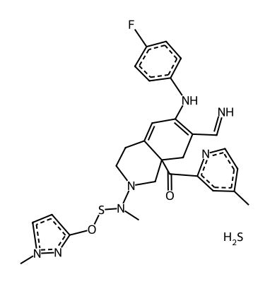 Cc1ccnc(C(=O)C23CC(C=N)=C(Nc4ccc(F)cc4)C=C2CCN(N(C)SOc2ccn(C)n2)C3)c1.S